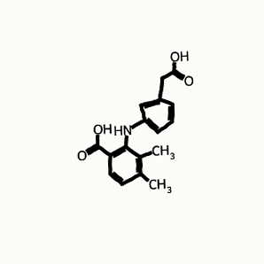 Cc1ccc(C(=O)O)c(Nc2cccc(CC(=O)O)c2)c1C